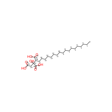 CCCCCCCCCCCCCCCCCCC(C(=O)O)C(O)(CC(=O)O)C(=O)O